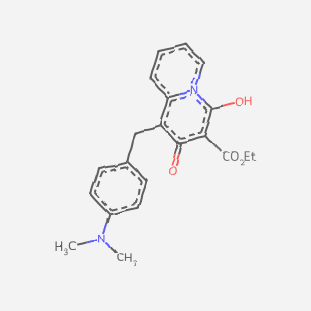 CCOC(=O)c1c(O)n2ccccc2c(Cc2ccc(N(C)C)cc2)c1=O